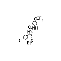 CCSCCC1CN(C(=O)Nc2ccc(OC(F)(F)F)cc2)N=C1c1ccc(Cl)cc1